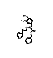 O=C(CN[C@@H](Cc1ccc(O)c(O)c1)C(=O)OCc1ccccc1)c1ccccc1